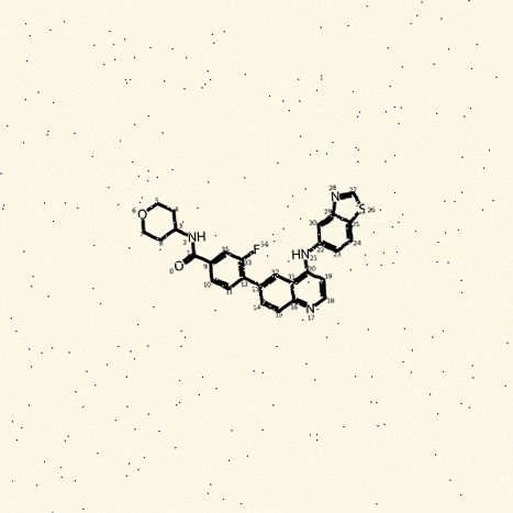 O=C(NC1CCOCC1)c1ccc(-c2ccc3nccc(Nc4ccc5scnc5c4)c3c2)c(F)c1